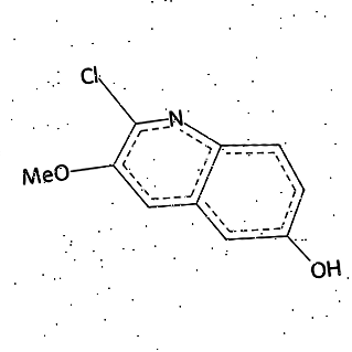 COc1cc2cc(O)ccc2nc1Cl